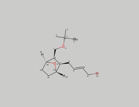 CC(C)(C)[Si](C)(C)OC[C@H]1[C@@H](C/C=C/CBr)[C@@H]2CC[C@@H]1O2